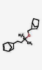 C[Si](C)(CCC1CC2C=CC1C2)OCC1CC2CCC1C2